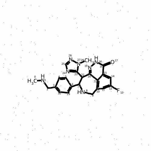 CNCc1ccc(C2NCc3cc(F)cc4c(=O)[nH]nc(c34)C2c2ncnn2C)cc1